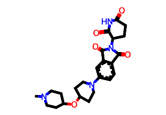 CN1CCC(OC2CCN(c3ccc4c(c3)C(=O)N(C3CCC(=O)NC3=O)C4=O)CC2)CC1